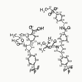 CC(C)(C)OC(=O)N1CC(c2ccc(C(F)(F)F)cc2)CC1c1ccc(C(=O)O)cc1.CCS(=O)(=O)c1ccc(CNC(=O)c2ccc(C3CC(c4ccc(C(F)(F)F)cc4)CN3C(=O)OC(C)(C)C)cc2)cc1